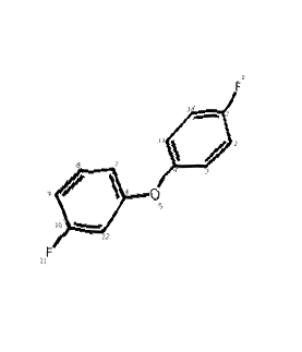 Fc1ccc(Oc2cccc(F)c2)cc1